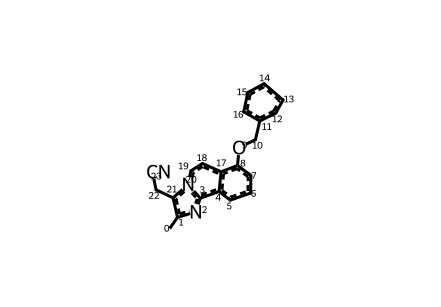 Cc1nc2c3cccc(OCc4ccccc4)c3ccn2c1CC#N